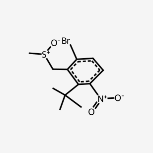 C[S+]([O-])Cc1c(Br)ccc([N+](=O)[O-])c1C(C)(C)C